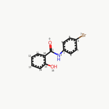 O=C(Nc1ccc(Br)cc1)c1ccccc1O